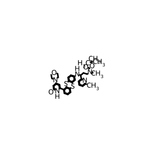 Cc1cccc(C(CCN(C)C(=O)OC(C)(C)C)Nc2ccc3c(c2)Sc2cccc(-c4cc(N5CCOCC5)cc(=O)[nH]4)c2S3)n1